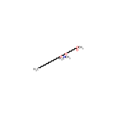 CCCCCC=CCC=CCCCCCCCCOCC(COCCCCCCCC(=O)OC)N(C)C